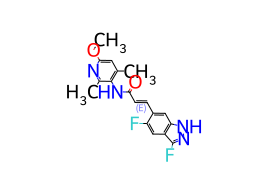 COc1cc(C)c(NC(=O)/C=C/c2cc3[nH]nc(F)c3cc2F)c(C)n1